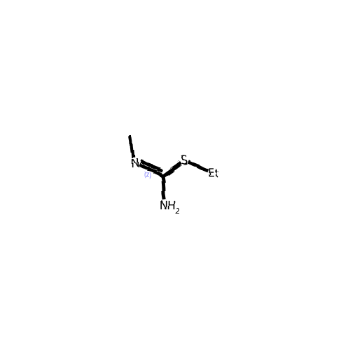 CCS/C(N)=N\C